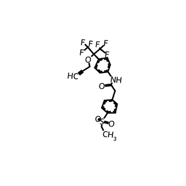 C#CCOC(c1ccc(NC(=O)Cc2ccc(S(=O)(=O)CC)cc2)cc1)(C(F)(F)F)C(F)(F)F